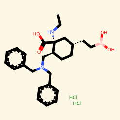 CCN[C@]1(C(=O)O)C[C@H](CCB(O)O)CC[C@H]1CN(Cc1ccccc1)Cc1ccccc1.Cl.Cl